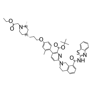 CCOC(=O)CN1CC[C@@H](CCCOc2ccc(-c3ccc(N4CCc5cccc(C(=O)Nc6nc7ccccc7s6)c5C4)nc3C(=O)OC(C)(C)C)c(C)c2)C[C@H]1C